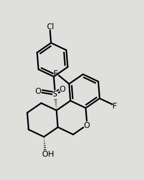 O=S(=O)(c1ccc(Cl)cc1)[C@@]12CCC[C@@H](O)C1COc1c(F)ccc(F)c12